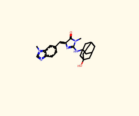 CN1C(=O)/C(=C/c2ccc3ncn(C)c3c2)N=C1NC12CC3CC(CC(O)(C3)C1)C2